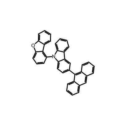 c1ccc2c(-c3ccc4c(c3)c3ccccc3n4-c3cccc4oc5ccccc5c34)c3ccccc3cc2c1